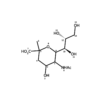 CC(=O)NC1C(O)CC(C)(C(=O)O)OC1[C@H](O)[C@H](O)CO